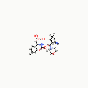 Cc1ccc([C@@H](CB(O)O)NC(=O)OC[C@H]2COCCN2C(=O)C(C#N)=CC(C)(C)C)cc1